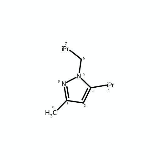 Cc1cc(C(C)C)n(CC(C)C)n1